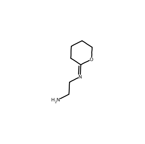 NCCN=C1CCCCO1